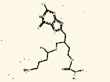 CCCCCCCCCCCCCC(O)OCC(CCOC(=O)[C@@H](N)[C@@H](C)CC)Cc1nc2nc(N)[nH]c(=O)c2[nH]1